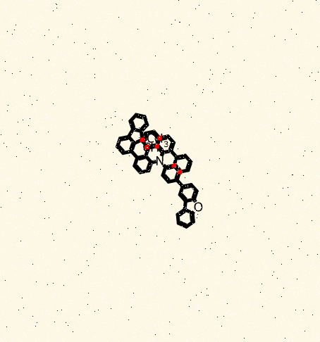 CC1(C)c2ccccc2-c2cccc(-c3cccc(N(c4ccc(-c5ccc6oc7ccccc7c6c5)cc4)c4ccccc4-c4ccccc4)c3-c3ccccc3)c21